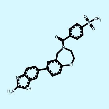 CS(=O)(=O)c1ccc(C(=O)N2CCOc3ccc(-c4ccc5nc(N)[nH]c5c4)cc3C2)cc1